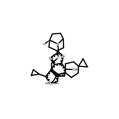 COc1cc(C(=O)O)cc2sc(N3C4CC[C@H]3CC(OCc3c(C5CCC6(CC5)CC6)noc3C3CC3)C4)nc12